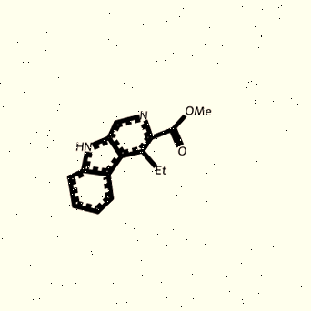 CCc1c(C(=O)OC)ncc2[nH]c3ccccc3c12